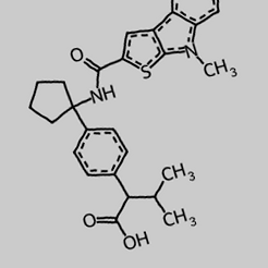 CC(C)C(C(=O)O)c1ccc(C2(NC(=O)c3cc4c5ccccc5n(C)c4s3)CCCC2)cc1